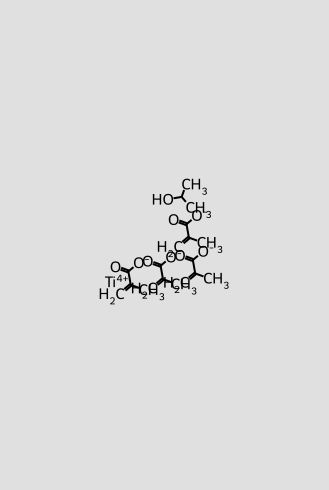 C=C(C)C(=O)[O-].C=C(C)C(=O)[O-].C=C(C)C(=O)[O-].C=C(C)C(=O)[O-].CC(C)O.[Ti+4]